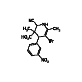 CC1=C(C(C)C)C(c2cccc([N+](=O)[O-])c2)C(C)(C(=O)O)C(C#N)N1